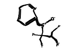 [O-][S+](c1ccccn1)C(F)(F)C(F)F